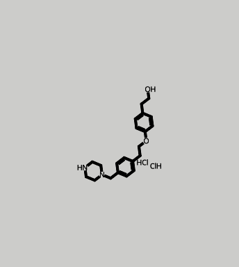 Cl.Cl.OCCc1ccc(OCCc2ccc(CN3CCNCC3)cc2)cc1